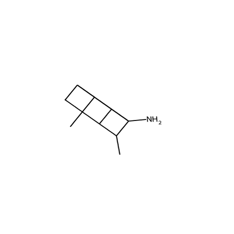 CC1C2C3C4C(CC24C)C13N